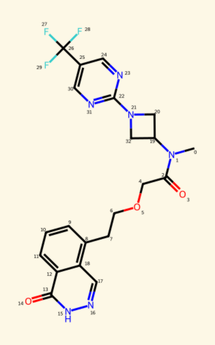 CN(C(=O)COCCc1cccc2c(=O)[nH]ncc12)C1CN(c2ncc(C(F)(F)F)cn2)C1